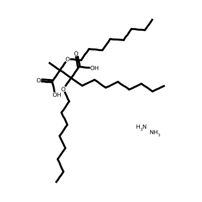 CCCCCCCCOC(C)(C(=O)O)C(CCCCCCCC)(OCCCCCCCC)C(=O)O.N.N